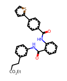 CCOC(=O)CCc1cccc(NC(=O)c2ccccc2NC(=O)c2ccc(-c3cccs3)cc2)c1